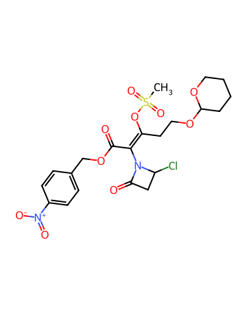 CS(=O)(=O)OC(CCOC1CCCCO1)=C(C(=O)OCc1ccc([N+](=O)[O-])cc1)N1C(=O)CC1Cl